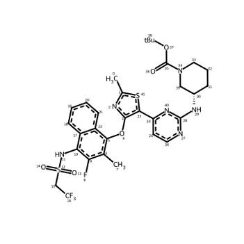 Cc1nc(Oc2c(C)c(F)c(NS(=O)(=O)CC(F)(F)F)c3ccccc23)c(-c2ccnc(N[C@H]3CCCN(C(=O)OC(C)(C)C)C3)n2)s1